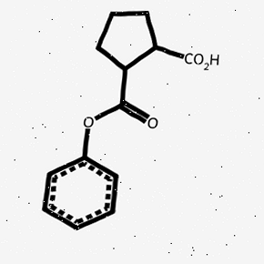 O=C(O)C1CCCC1C(=O)Oc1ccccc1